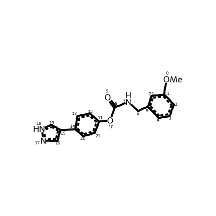 COc1cccc(CNC(=O)Oc2ccc(-c3cn[nH]c3)cc2)c1